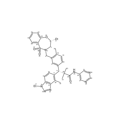 CC[C@@H]1CN(Cc2cc([C@@H](c3ccc4c(nnn4CC)c3C)C(C)(C)C(=O)Nc3cncnc3)ccc2C)S(=O)(=O)c2ccccc2O1